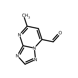 Cc1cc(C=O)n2ncnc2n1